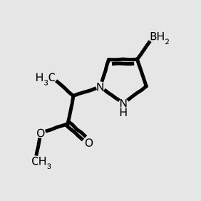 BC1=CN(C(C)C(=O)OC)NC1